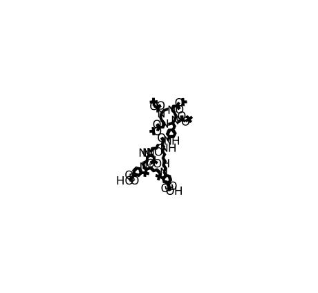 CC(C)(C)OC(=O)CN1CCN(CC(=O)OC(C)(C)C)CCN(CC(=O)OC(C)(C)C)C(Cc2ccc(NC(=O)[C@H](CCCN=[N+]=[N-])NC(=O)CCCCCN3/C(=C/C=C/C4=[N+](CCCCCC(=O)O)c5ccc(S(=O)(=O)O)cc5C4(C)C)C(C)(C)c4cc(S(=O)(=O)O)ccc43)cc2)CN(CC(=O)OC(C)(C)C)CC1